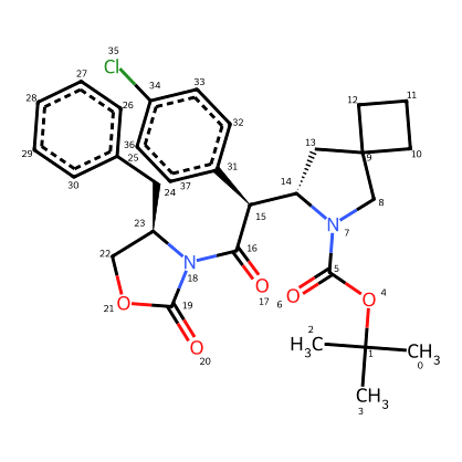 CC(C)(C)OC(=O)N1CC2(CCC2)C[C@H]1[C@@H](C(=O)N1C(=O)OC[C@H]1Cc1ccccc1)c1ccc(Cl)cc1